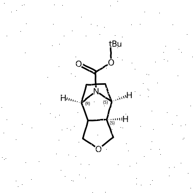 CC(C)(C)OC(=O)N1[C@@H]2CC[C@H]1[C@H]1COCC21